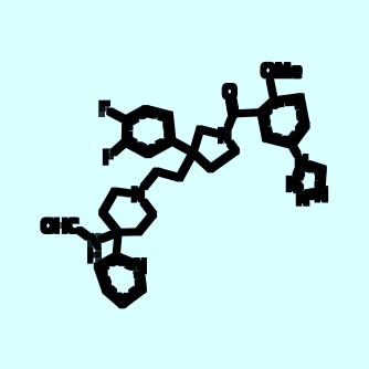 COc1ccc(-n2cnnn2)cc1C(=O)N1CCC(CCN2CCC(NC=O)(c3ccccn3)CC2)(c2ccc(F)c(F)c2)C1